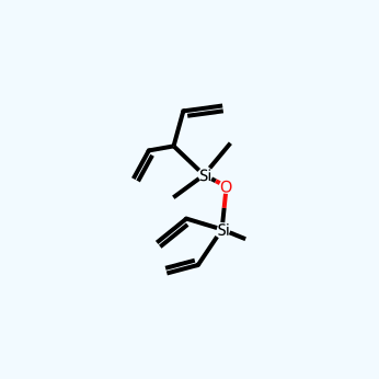 C=CC(C=C)[Si](C)(C)O[Si](C)(C=C)C=C